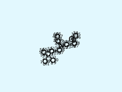 c1ccc(-c2c(-c3ccccc3)c3cc(-c4cccc(N(c5ccc(-c6cccc7c6oc6ccccc67)cc5)c5ccc6ccccc6c5)c4)ccc3c3ccccc23)cc1